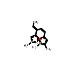 C/C=C(\C=C/c1cc(C)n(C)c1)c1cnn(C)c1